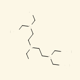 CC(=O)CN(CCN(CC=O)CCN(CC(=O)O)CC(=O)O)CC(=O)O